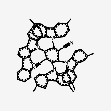 Cc1ccc2c(c1)c1cc(C)cc(C)c1n2-c1c(C#N)c(-n2c3ccc(C)cc3c3cc(C)cc(C)c32)c(-n2c3ccccc3c3ccc4c5ccccc5oc4c32)c(C#N)c1-n1c2ccc(C)cc2c2cc(C)cc(C)c21